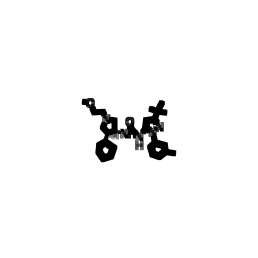 COCCN1C[C@H](NC(=O)Nc2cc(C(C)(C)C)nn2-c2cccc(C)c2)[C@@H](c2ccccc2)C1